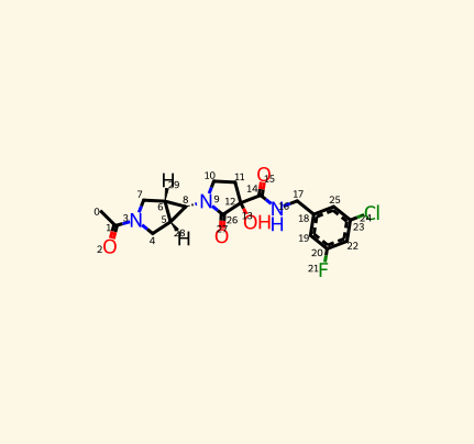 CC(=O)N1C[C@@H]2[C@H](C1)[C@@H]2N1CCC(O)(C(=O)NCc2cc(F)cc(Cl)c2)C1=O